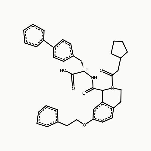 O=C(N[C@@H](Cc1ccc(-c2ccccc2)cc1)C(=O)O)C1c2cc(OCCc3ccccc3)ccc2CCN1C(=O)CC1CCCC1